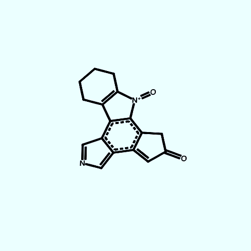 O=C1C=c2c(c3c(c4c2=CN=C4)C2=C(CCCC2)[N+]3=O)C1